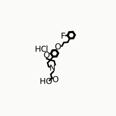 Cl.O=C(O)CCN1CCC2(CC1)COc1cc(OCCCc3ccccc3F)ccc12